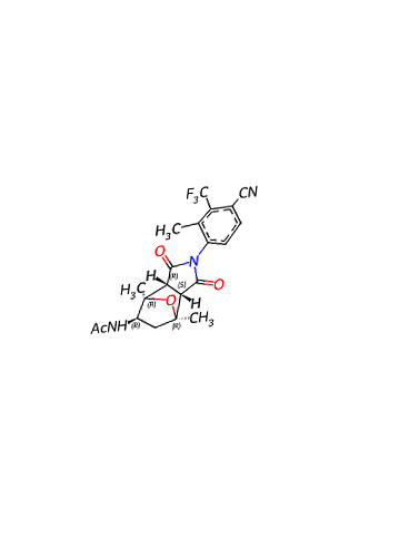 CC(=O)N[C@@H]1C[C@@]2(C)O[C@]1(C)[C@@H]1C(=O)N(c3ccc(C#N)c(C(F)(F)F)c3C)C(=O)[C@@H]12